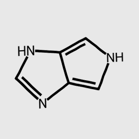 c1nc2c[nH]cc2[nH]1